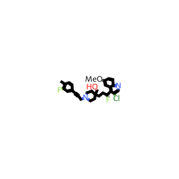 COc1ccc2ncc(Cl)c([C@@H](F)CCC3(CO)CCN(CC#Cc4ccc(C)c(F)c4)CC3)c2c1